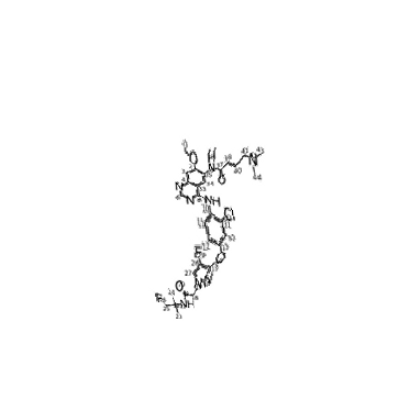 COc1cc2ncnc(Nc3ccc(Oc4nn(CC(=O)NC(C)(C)CF)cc4F)cc3Cl)c2cc1NC(=O)/C=C/CN(C)C